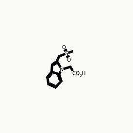 CS(=O)(=O)Cc1cc2ccccc2n1CC(=O)O